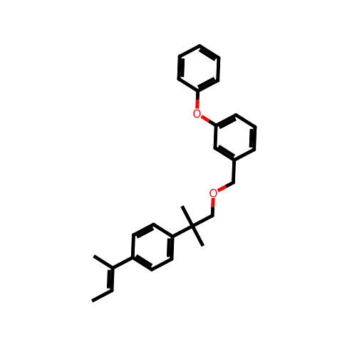 CC=C(C)c1ccc(C(C)(C)COCc2cccc(Oc3ccccc3)c2)cc1